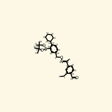 CCc1cc(C(C)=NOCc2ccc(C3CCCCC3)c(B3OC(C)(C)C(C)(C)O3)c2)ccc1C=O